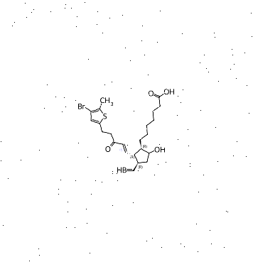 B=C[C@@H]1CC(O)[C@H](CCCCCCC(=O)O)[C@H]1/C=C/C(=O)CCc1cc(Br)c(C)s1